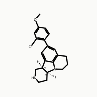 COc1ccc(-c2cc3c4c(c2)[C@@H]2CNCC[C@@H]2N4CCC3)c(Cl)c1